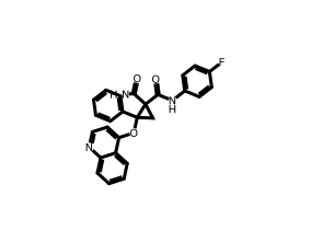 NC(=O)C1(C(=O)Nc2ccc(F)cc2)CC1(Oc1ccnc2ccccc12)c1ccccc1